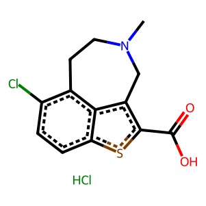 CN1CCc2c(Cl)ccc3sc(C(=O)O)c(c23)C1.Cl